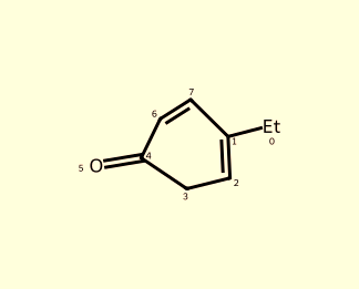 CCC1=CCC(=O)C=C1